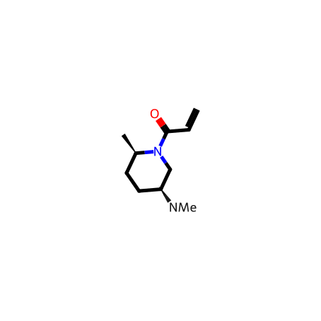 C=CC(=O)N1C[C@@H](NC)CC[C@H]1C